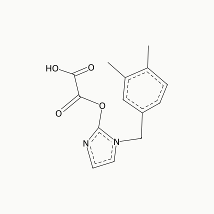 Cc1ccc(Cn2ccnc2OC(=O)C(=O)O)cc1C